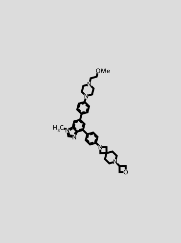 COCCN1CCN(c2ccc(-c3cc(-c4ccc(N5CC6(CCN(C7COC7)CC6)C5)cc4)c4ncn(C)c4c3)cc2)CC1